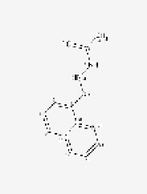 CC(=O)NNOc1cccc2cccnc12